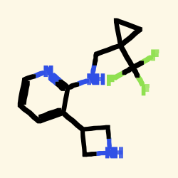 FC(F)(F)C1(CNc2ncccc2C2CNC2)CC1